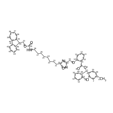 Cc1ccc(C(OC(=O)c2ccccc2OCc2noc(CCCCCCCCNC(=O)OCC3c4ccccc4-c4ccccc43)n2)c2ccccc2Cl)cc1